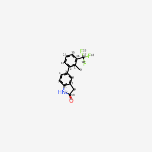 Cc1c(-c2ccc3c(c2)CC(=O)N3)cccc1C(F)(F)F